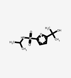 CC(C)NS(=O)(=O)c1ccc(C(C)(C)O)o1